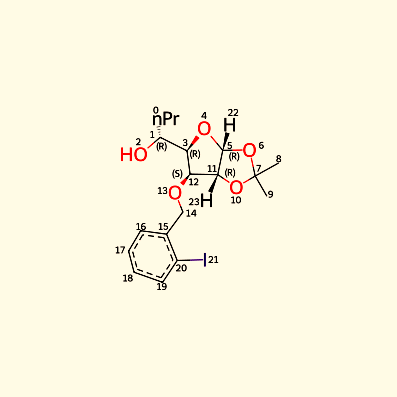 CCC[C@@H](O)[C@H]1O[C@@H]2OC(C)(C)O[C@@H]2[C@H]1OCc1ccccc1I